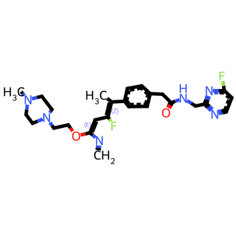 C=N/C(=C\C(F)=C(/C)c1ccc(CC(=O)NCc2nccc(F)n2)cc1)OCCN1CCN(C)CC1